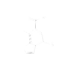 COC(=O)c1cc(C#N)c2ccoc2c1C